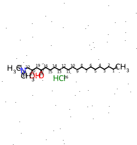 CCCCCCCCCCCCCCCCCC(=O)CC(O)CN(C)C.Cl